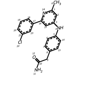 Cc1cc(Nc2ccc(CC(N)=O)cc2)cc(-c2cccc(Cl)c2)n1